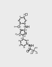 COc1ccc(Cl)cc1Nc1nc(-c2cccc(NC(=O)C(C)(C)C)c2)c(C)s1